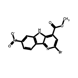 COC(=O)c1cc(Br)nc2c1[nH]c1cc([N+](=O)[O-])ccc12